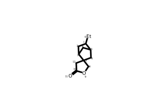 CCC1CC2CC1CC21COC(=O)C1